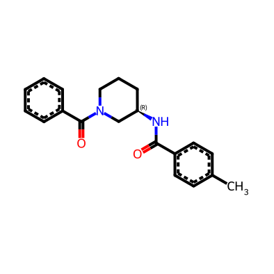 Cc1ccc(C(=O)N[C@@H]2CCCN(C(=O)c3ccccc3)C2)cc1